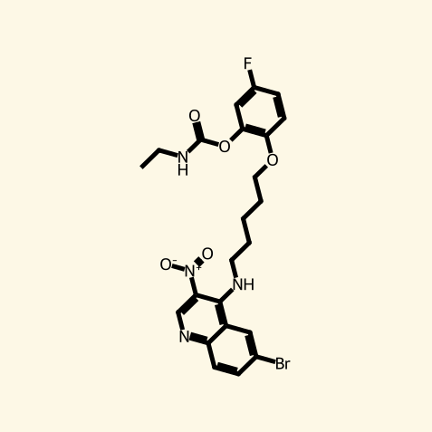 CCNC(=O)Oc1cc(F)ccc1OCCCCCNc1c([N+](=O)[O-])cnc2ccc(Br)cc12